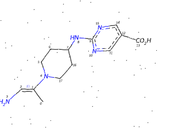 C/C(=C\N)N1CCC(Nc2ncc(C(=O)O)cn2)CC1